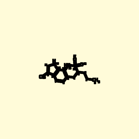 CCCC1Cc2ccc3c(Cl)c[nH]c3c2NS1(=O)=O